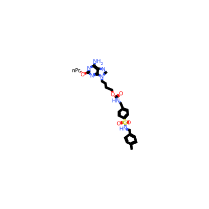 CCCOc1nc(N)c2ncn(CCCCOC(=O)NCc3ccc(S(=O)(=O)NCc4ccc(C)cc4)cc3)c2n1